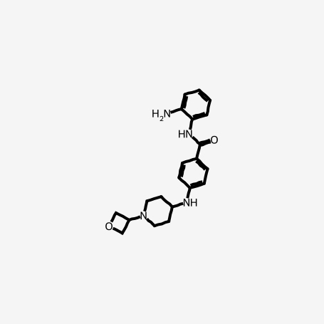 Nc1ccccc1NC(=O)c1ccc(NC2CCN(C3COC3)CC2)cc1